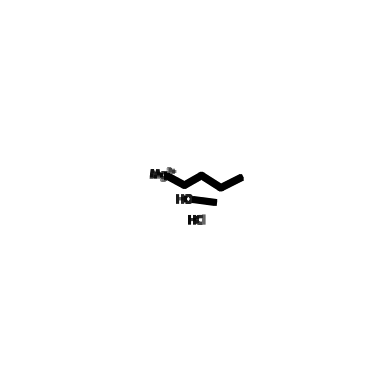 CCC[CH2][Mg+2].CO.Cl